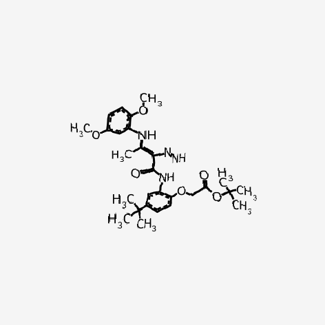 COc1ccc(OC)c(N/C(C)=C(\N=N)C(=O)Nc2cc(C(C)(C)C)ccc2OCC(=O)OC(C)(C)C)c1